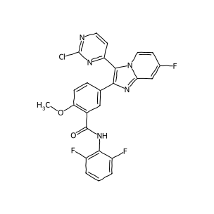 COc1ccc(-c2nc3cc(F)ccn3c2-c2ccnc(Cl)n2)cc1C(=O)Nc1c(F)cccc1F